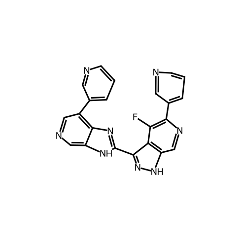 Fc1c(-c2cccnc2)ncc2[nH]nc(-c3nc4c(-c5cccnc5)cncc4[nH]3)c12